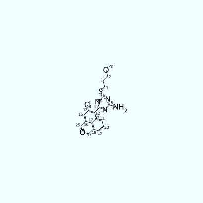 COCCCSc1nc(N)nc(-c2c(Cl)cc3c4c(cccc24)COC3)n1